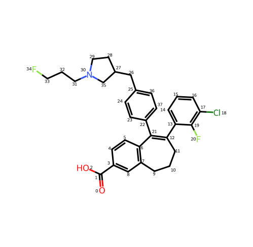 O=C(O)c1ccc2c(c1)CCCC(c1cccc(Cl)c1F)=C2c1ccc(CC2CCN(CCCF)C2)cc1